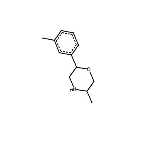 Cc1cccc(C2CNC(C)CO2)c1